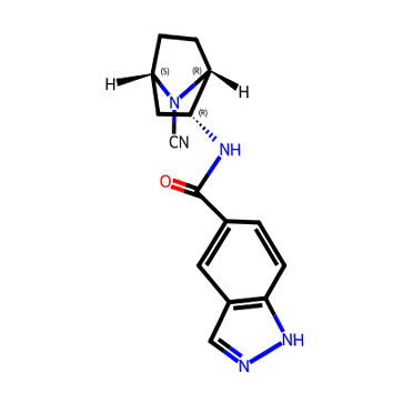 N#CN1[C@H]2CC[C@@H]1[C@H](NC(=O)c1ccc3[nH]ncc3c1)C2